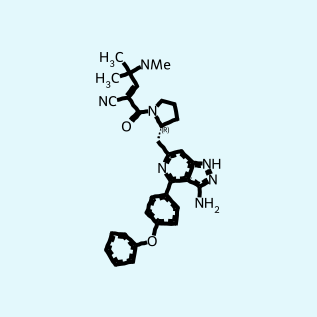 CNC(C)(C)C=C(C#N)C(=O)N1CCC[C@@H]1Cc1cc2[nH]nc(N)c2c(-c2ccc(Oc3ccccc3)cc2)n1